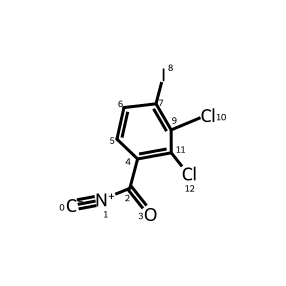 [C-]#[N+]C(=O)c1ccc(I)c(Cl)c1Cl